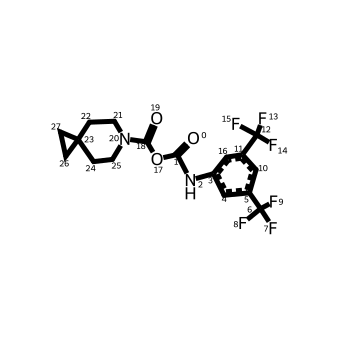 O=C(Nc1cc(C(F)(F)F)cc(C(F)(F)F)c1)OC(=O)N1CCC2(CC1)CC2